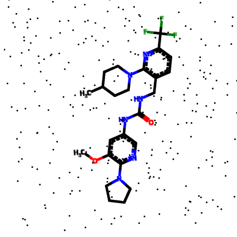 COc1cc(NC(=O)NCc2ccc(C(F)(F)F)nc2N2CCC(C)CC2)cnc1N1CCCC1